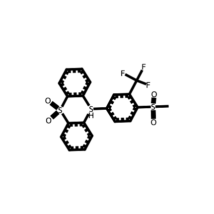 CS(=O)(=O)c1ccc([SH]2c3ccccc3S(=O)(=O)c3ccccc32)cc1C(F)(F)F